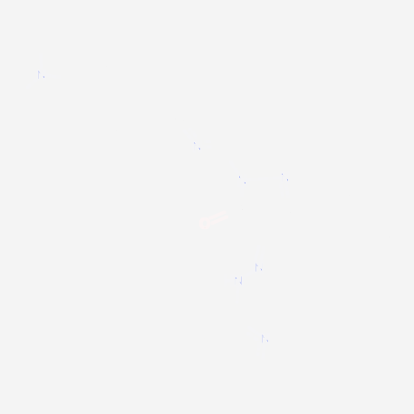 CN(C)c1ccc(-c2csc(N3N=C(c4ccccc4)/C(=N/Nc4nccs4)C3=O)n2)cc1